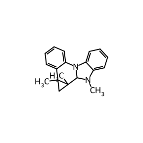 CN1c2ccccc2N2c3ccccc3C3(C)CC3(C)C12